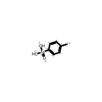 O=[As](O)(O)c1ccc(I)cc1